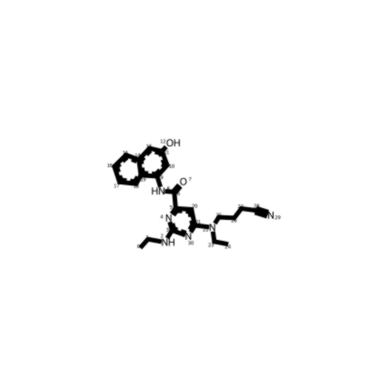 CCNc1nc(C(=O)Nc2cc(O)cc3ccccc23)cc(N(CC)CCCC#N)n1